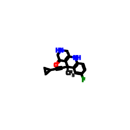 O=C1CNCC2=C1C(C#CC1CC1)(C(F)(F)F)c1cc(F)ccc1N2